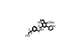 COc1c(C2CCCNC2)cc(C(=O)N[C@H](C)c2cccc(C(F)(F)CO)c2)c2[nH]ncc12